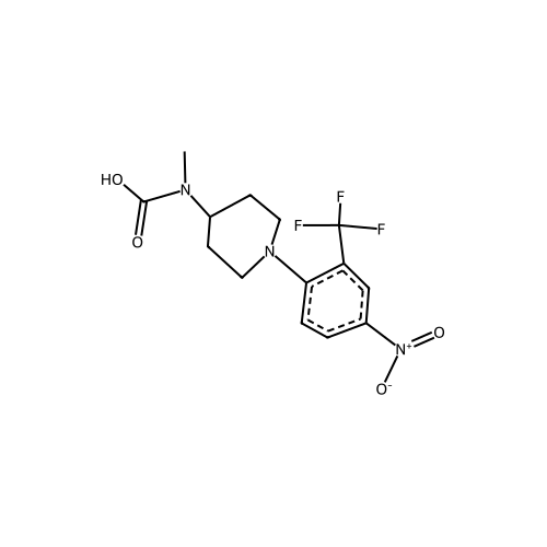 CN(C(=O)O)C1CCN(c2ccc([N+](=O)[O-])cc2C(F)(F)F)CC1